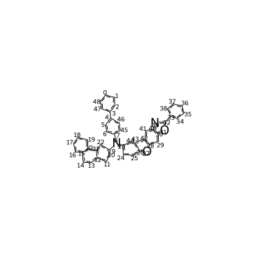 c1ccc(-c2ccc(N(c3ccc4ccc5ccccc5c4c3)c3ccc4oc5cc6oc(-c7ccccc7)nc6cc5c4c3)cc2)cc1